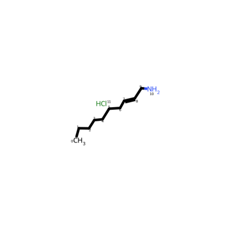 CCCCCCCC=CCN.Cl